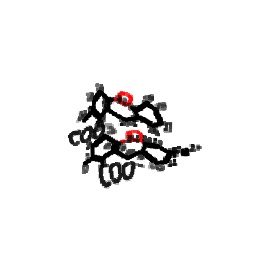 Cc1ccc2c(c1C(=O)[O-])Cc1ccccc1O2.Cc1ccc2c(c1C(=O)[O-])Cc1ccccc1O2.[Fe+2]